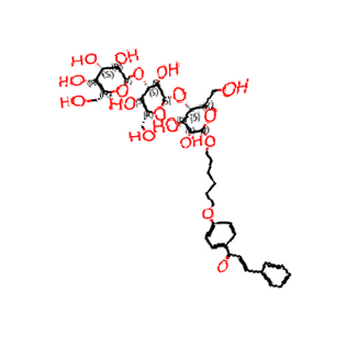 O=C(C=Cc1ccccc1)c1ccc(OCCCCCCO[C@@H]2O[C@H](CO)[C@@H](O[C@@H]3O[C@H](CO)[C@H](O)[C@H](O[C@H]4O[C@H](CO)[C@H](O)[C@H](O)[C@H]4O)[C@H]3O)[C@H](O)[C@H]2O)cc1